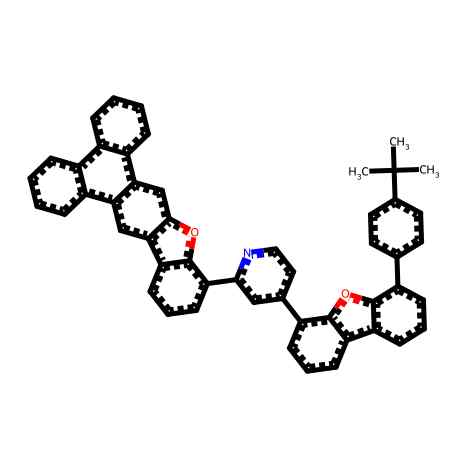 CC(C)(C)c1ccc(-c2cccc3c2oc2c(-c4ccnc(-c5cccc6c5oc5cc7c8ccccc8c8ccccc8c7cc56)c4)cccc23)cc1